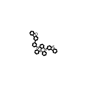 c1cc(-c2ccc3oc4ccccc4c3c2)cc(N2c3ccccc3B3c4ccccc4N(c4ccc5sc6ccccc6c5c4)c4cccc2c43)c1